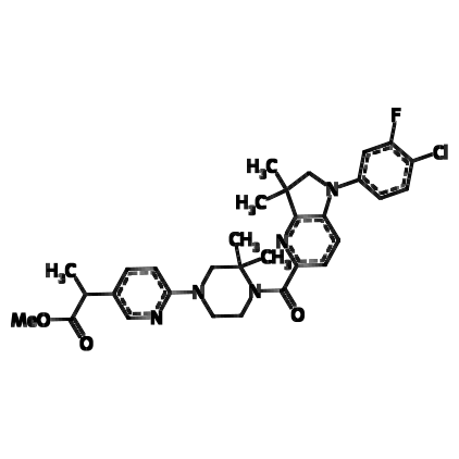 COC(=O)C(C)c1ccc(N2CCN(C(=O)c3ccc4c(n3)C(C)(C)CN4c3ccc(Cl)c(F)c3)C(C)(C)C2)nc1